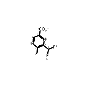 Cc1ncc(C(=O)O)nc1C(F)F